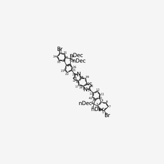 CCCCCCCCCCC1(CCCCCCCCCC)c2cc(Br)ccc2-c2ccc(-c3nc4cc5sc(-c6ccc7c(c6)C(CCCCCCCCCC)(CCCCCCCCCC)c6cc(Br)ccc6-7)nc5cc4s3)cc21